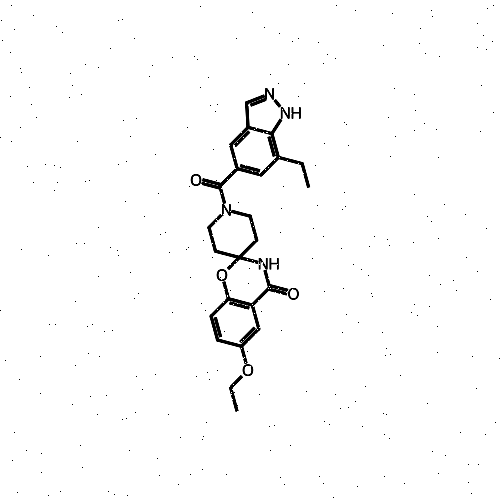 CCOc1ccc2c(c1)C(=O)NC1(CCN(C(=O)c3cc(CC)c4[nH]ncc4c3)CC1)O2